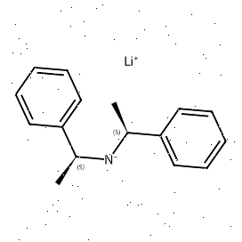 C[C@H]([N-][C@@H](C)c1ccccc1)c1ccccc1.[Li+]